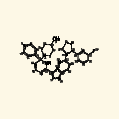 OC1CCN(C2(c3ccncc3)C=CC=C(c3cnc4ccc(N5CCCC5c5cccc(F)c5)nn34)N2)CC1